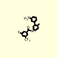 Cc1ccc(NC(=O)c2cc(F)cc(C(F)(F)F)c2)cc1-c1cccc(N)c1